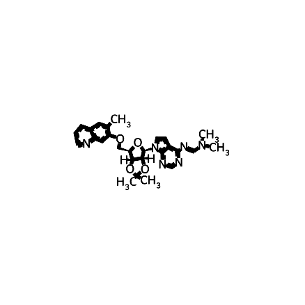 Cc1cc2cccnc2cc1OC[C@H]1O[C@@H](n2ccc3c(/N=C/N(C)C)ncnc32)[C@@H]2OC(C)(C)O[C@@H]21